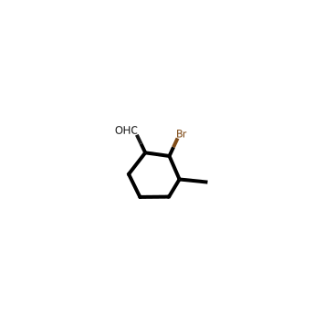 CC1CCCC(C=O)C1Br